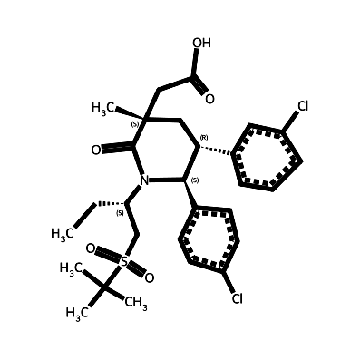 CC[C@@H](CS(=O)(=O)C(C)(C)C)N1C(=O)[C@](C)(CC(=O)O)C[C@H](c2cccc(Cl)c2)[C@H]1c1ccc(Cl)cc1